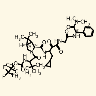 CN(C)C(=O)[C@@H](NC(=O)CNC(=O)C(=O)C(CC1CC1)NC(=O)[C@@H]1C2[C@H](CN1C(=O)C(NC(=O)OC(C)(C)C(F)(F)F)C(C)(C)C)C2(C)C)c1ccccc1